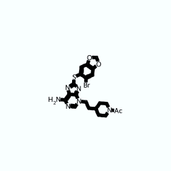 CC(=O)N1CCC(CCn2cnc(N)c3nc(Sc4cc5c(cc4Br)OCO5)nc2-3)CC1